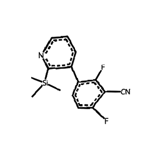 C[Si](C)(C)c1ncccc1-c1ccc(F)c(C#N)c1F